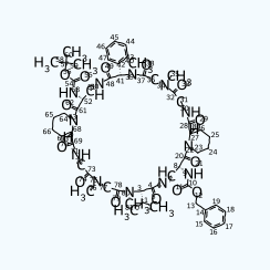 CC(C)[C@H]1C(=O)NC[C@@H](NC(=O)OCc2ccccc2)C(=O)N2CCCC[C@H]2C(=O)NCC(=O)N(C)CC(=O)N(C)[C@@H](c2ccccc2)C(=O)NC[C@@H](NC(=O)OC(C)(C)C)C(=O)N2CCCC[C@H]2C(=O)NCC(=O)N(C)CC(=O)N1C